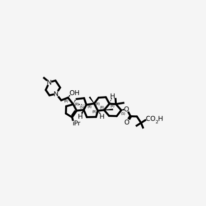 CC(C)C1=C2[C@H]3CC[C@@H]4[C@@]5(C)CC[C@H](OC(=O)CC(C)(C)C(=O)O)C(C)(C)[C@@H]5CC[C@@]4(C)[C@]3(C)CC[C@@]2([C@@H](O)CN2CCN(C)CC2)CC1